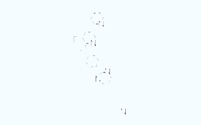 Cc1ccnc(-c2cc(F)c(=O)n([C@H](C)c3cccc(-c4ncc(CCC5CCN(C)CC5)cn4)c3)c2)c1